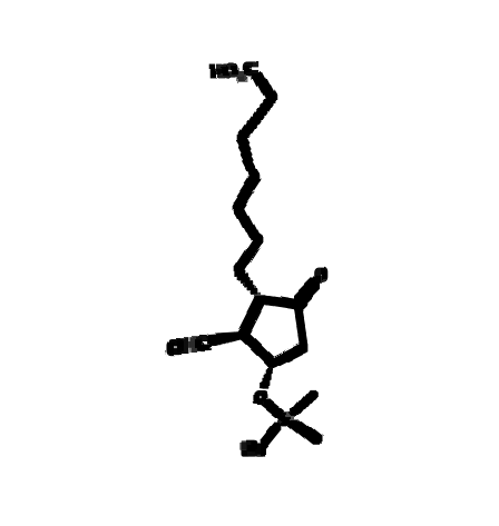 CC(C)(C)[Si](C)(C)O[C@H]1CC(=O)[C@@H](CCCCCCC(=O)O)[C@@H]1C=O